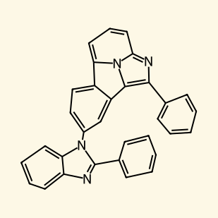 c1ccc(-c2nc3cccc4c5ccc(-n6c(-c7ccccc7)nc7ccccc76)cc5c2n34)cc1